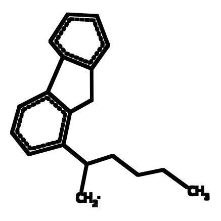 [CH2]C(CCCC)c1cccc2c1Cc1ccccc1-2